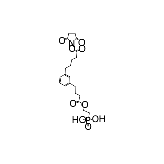 O=C(CCCc1cccc(CCCCC(=O)ON2C(=O)CCC2=O)c1)OCCP(=O)(O)O